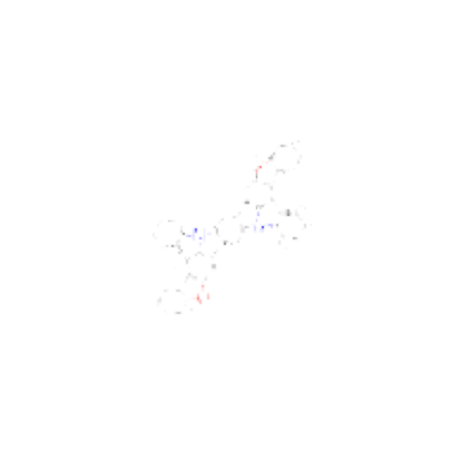 c1ccc2c(c1)oc1cc3c4cc5c(cc4n4c6ccccc6c(c12)c34)c1cc2oc3ccccc3c2c2c3ccccc3n5c12